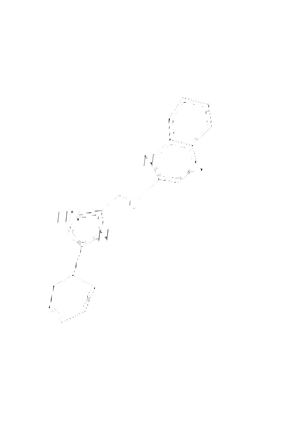 C1=CCC(c2c[nH]c(COc3cnc4ccccc4n3)n2)C=C1